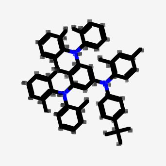 Cc1ccc(N(c2ccc(C(C)(C)C)cc2)c2cc3c4c(c2)N(c2ccccc2C)c2c(C)cccc2B4c2cccc(C)c2N3c2ccccc2C)c(C)c1